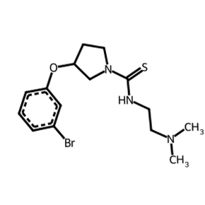 CN(C)CCNC(=S)N1CCC(Oc2cccc(Br)c2)C1